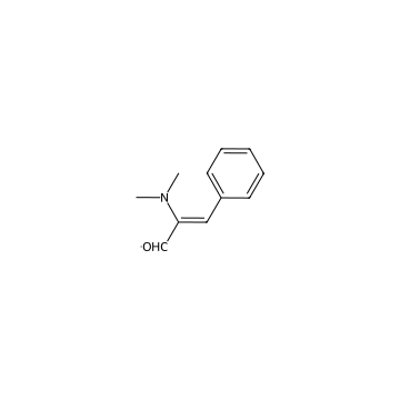 CN(C)C([C]=O)=Cc1ccccc1